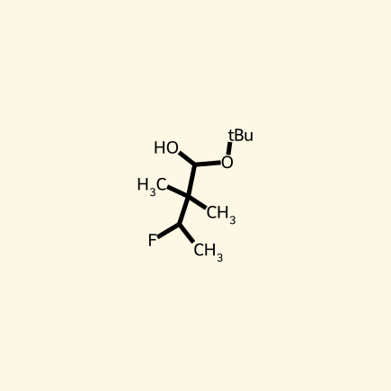 CC(F)C(C)(C)C(O)OC(C)(C)C